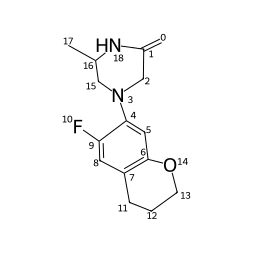 C=C1CN(c2cc3c(cc2F)CCCO3)CC(C)N1